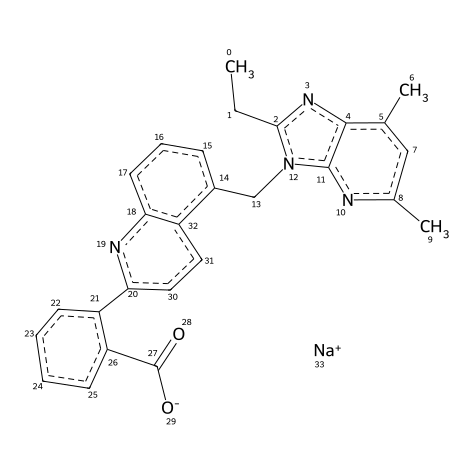 CCc1nc2c(C)cc(C)nc2n1Cc1cccc2nc(-c3ccccc3C(=O)[O-])ccc12.[Na+]